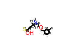 Cc1cccc(COCCN(C)C(C)(C)C#CC(O)=S)c1